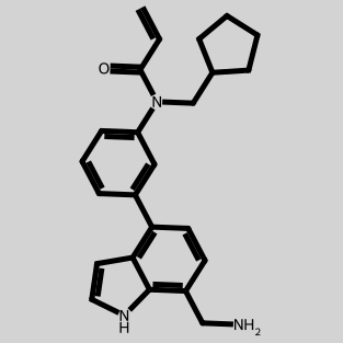 C=CC(=O)N(CC1CCCC1)c1cccc(-c2ccc(CN)c3[nH]ccc23)c1